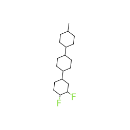 CC1CCC(C2CCC(C3CCC(F)C(F)C3)CC2)CC1